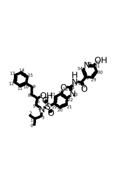 CC(C)CN(CC(O)[CH]Cc1ccccc1)S(=O)(=O)c1ccc2nc(NC(=O)c3ccc(O)nc3)oc2c1